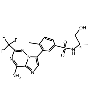 Cc1ccc(S(=O)(=O)N[C@@H](C)CO)cc1-c1cnc2c(N)nc(C(F)(F)F)nn12